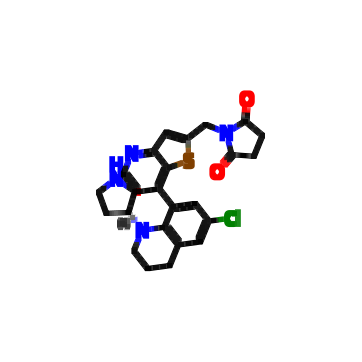 O=C1CCC(=O)N1Cc1cc2nccc(-c3cc(Cl)cc4c3N([C@@H]3CCNC3)CCC4)c2s1